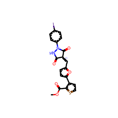 COC(=O)c1sccc1-c1ccc(/C=C2\C(=O)NN(c3ccc(I)cc3)C2=O)o1